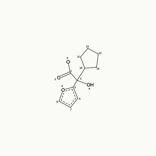 [O]C(=O)C(O)(c1ccco1)C1CCCC1